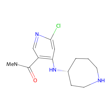 CNC(=O)c1cnc(Cl)cc1N[C@@H]1CCCNCC1